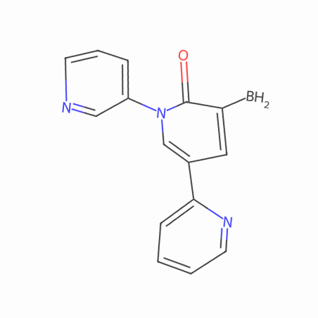 Bc1cc(-c2ccccn2)cn(-c2cccnc2)c1=O